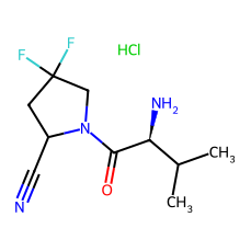 CC(C)[C@H](N)C(=O)N1CC(F)(F)CC1C#N.Cl